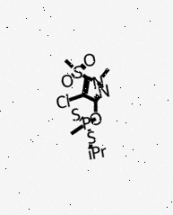 CC(C)SP(C)(=S)Oc1nn(C)c(S(C)(=O)=O)c1Cl